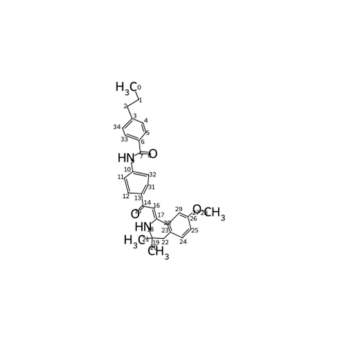 CCCc1ccc(C(=O)Nc2ccc(C(=O)C=C3NC(C)(C)Cc4ccc(OC)cc43)cc2)cc1